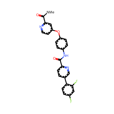 CNC(=O)c1cc(Oc2ccc(NC(=O)c3ccc(-c4ccc(F)cc4F)cn3)cc2)ccn1